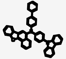 c1ccc(-c2ccc(N(c3ccc(-n4c5ccccc5c5ccccc54)cc3)c3cc4c5ccccc5oc4c4ccccc34)cc2)cc1